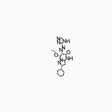 CCOc1c(/N=N/c2nnc[nH]2)c(=O)[nH]c2cc(-c3ccccc3)nn12